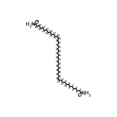 NC(=O)CCCCCCCCCCC/C=C\CCCCCCCCCCCCCCCCCC/C=C\CCCCCCCCCCCC(N)=O